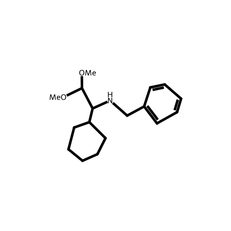 COC(OC)C(NCc1ccccc1)C1CCCCC1